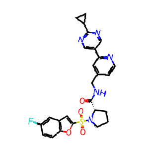 O=C(NCc1ccnc(-c2cnc(C3CC3)nc2)c1)[C@@H]1CCCN1S(=O)(=O)c1cc2cc(F)ccc2o1